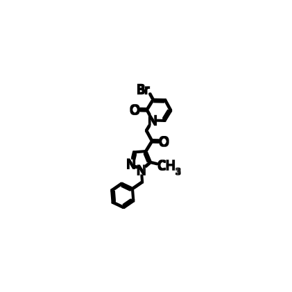 Cc1c(C(=O)Cn2cccc(Br)c2=O)cnn1Cc1ccccc1